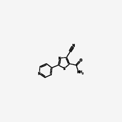 N#Cc1nc(-c2ccncc2)sc1C(N)=O